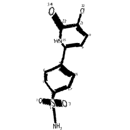 NS(=O)(=O)c1ccc(-c2ccc(Cl)c(=O)[nH]2)cc1